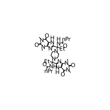 CCCC(=O)NC(CC)(c1nc2c([nH]1)c(=O)n(C)c(=O)n2C)N1CCN(C(CC)(NC(=O)CCC)c2nc3c([nH]2)c(=O)n(C)c(=O)n3C)CC1